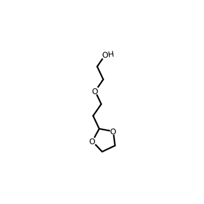 OCCOCCC1OCCO1